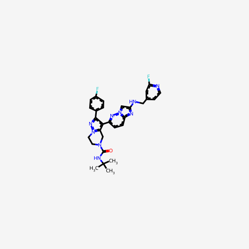 CC(C)(C)NC(=O)N1CCn2nc(-c3ccc(F)cc3)c(-c3ccc4nc(NCc5ccnc(F)c5)cn4n3)c2C1